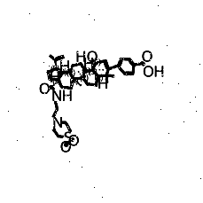 C=C(C)[C@@H]1CC[C@]2(C(=O)NCCCN3CCS(=O)(=O)CC3)CC[C@]3(C)[C@H](CC[C@@H]4[C@@]5(C)[C@@H](O)C=C(c6ccc(C(=O)O)cc6)C(C)(C)[C@@H]5CC[C@]43C)[C@@H]12